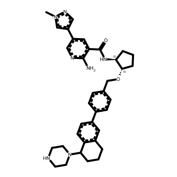 Cn1cc(-c2cnc(N)c(C(=O)N[C@H]3CCC[C@@H]3OCc3ccc(-c4ccc5c(c4)CCCC5N4CCNCC4)cc3)c2)cn1